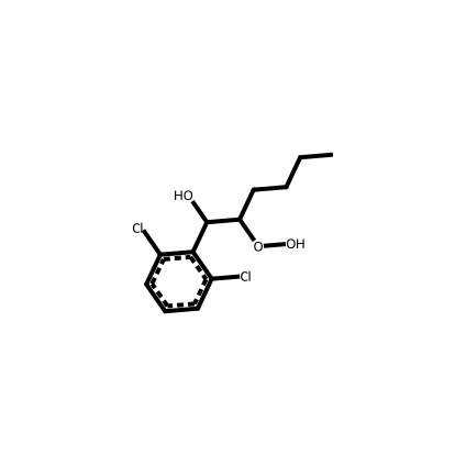 CCCCC(OO)C(O)c1c(Cl)cccc1Cl